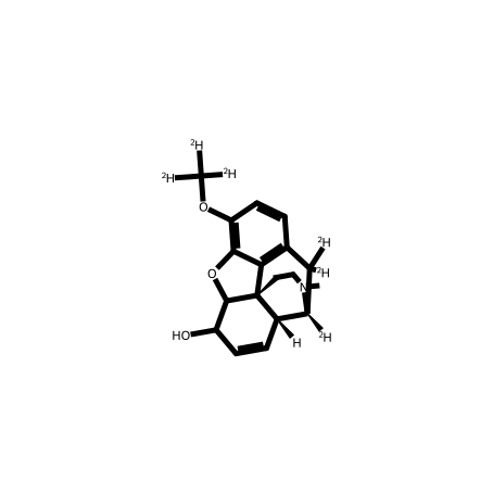 [2H]C([2H])([2H])Oc1ccc2c3c1OC1C(O)C=C[C@@H]4[C@@]31CCN(C)[C@]4([2H])C2([2H])[2H]